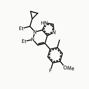 CCC(C1CC1)N1c2[nH]cnc2C(c2cc(F)c(OC)cc2C)=CN1CC